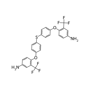 Nc1ccc(Oc2ccc(Sc3ccc(Oc4ccc(N)cc4C(F)(F)F)cc3)cc2)c(C(F)(F)F)c1